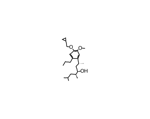 CCCc1cc(OCC2CC2)c(OC)cc1[C@H](C)C[C@@H](O)[C@@H](C)CC(C)C